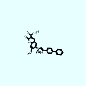 COc1cc2oc(=O)c(C(=O)O)cc2cc1-n1cc(-c2ccc(-c3ccccc3)cc2)nn1